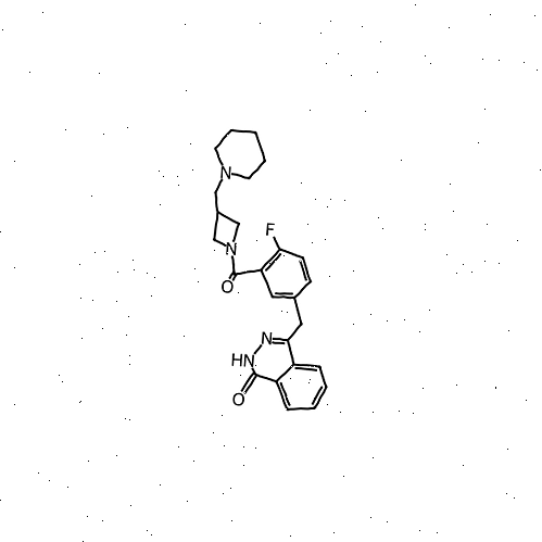 O=C(c1cc(Cc2n[nH]c(=O)c3ccccc23)ccc1F)N1CC(CN2CCCCC2)C1